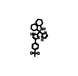 CS(=O)(=O)c1ccc(-c2c[nH]c([C@@](NC3CCCCC3)(c3ncc[nH]3)C3CCCCC3)n2)cc1